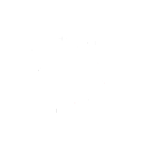 CCCc1cc(CC(C)C)c(C(C)C)c(OC(=O)c2ccccc2)c1OC(=O)c1ccccc1